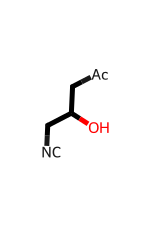 [C-]#[N+]CC(O)CC(C)=O